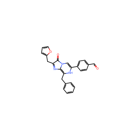 O=Cc1ccc(-c2cn3c(=O)c(Cc4ccco4)nc-3c(Cc3ccccc3)[nH]2)cc1